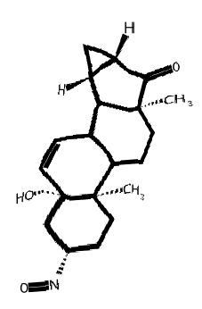 C[C@]12CCC3C(C=C[C@]4(O)C[C@@H](N=O)CC[C@]34C)C1[C@@H]1C[C@@H]1C2=O